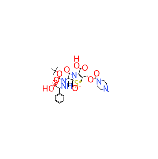 CN1CCN(C(=O)OCC2=C(C(=O)O)N3C(=O)C(N(N[C@H](C(=O)O)c4ccccc4)C(=O)OC(C)(C)C)[C@@H]3[S+]([O-])C2)CC1